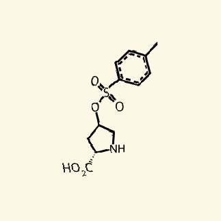 Cc1ccc(S(=O)(=O)OC2CN[C@H](C(=O)O)C2)cc1